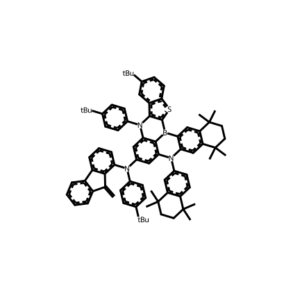 C=C1c2ccccc2-c2cccc(N(c3ccc(C(C)(C)C)cc3)c3cc4c5c(c3)N(c3ccc(C(C)(C)C)cc3)c3c(sc6ccc(C(C)(C)C)cc36)B5c3cc5c(cc3N4c3ccc4c(c3)C(C)(C)CCC4(C)C)C(C)(C)CCC5(C)C)c21